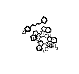 C(C=Cc1ccccc1)=Cc1ccccc1.C[SiH](C)[Zr-]([CH]1CCC2C=CC=CC21)[CH]1CCC2C=CC=CC21.C[SiH](C)[Zr-]([CH]1CCC2C=CC=CC21)[CH]1CCC2C=CC=CC21.[Zr+2]